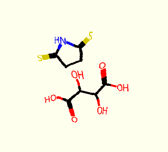 O=C(O)C(O)C(O)C(=O)O.S=C1CCC(=S)N1